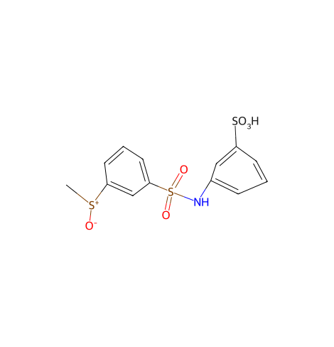 C[S+]([O-])c1cccc(S(=O)(=O)Nc2cccc(S(=O)(=O)O)c2)c1